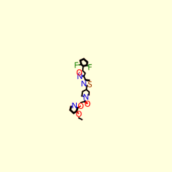 CCOc1cccnc1OCC(=O)N1CCC(c2nc(C3=NOC(c4c(F)cccc4F)C3)cs2)CC1